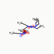 CCCCC/C=C\CCN(CC/C=C\CCCCC)CCN(CC/C=C\CCCCC)CC(=O)N1CCN(C(=O)CN(CCCCCCCCC)CCCCCCC(C)C(=O)OC2(C(C)(C)C)CN(C(=O)CNCCCCCCCCC)CCN2C(=O)O)CC1